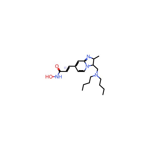 CCCCN(CCCC)CC1C(C)N=C2C=C(/C=C/C(=O)NO)C=CN21